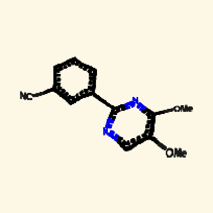 COc1cnc(-c2cccc(C#N)c2)nc1OC